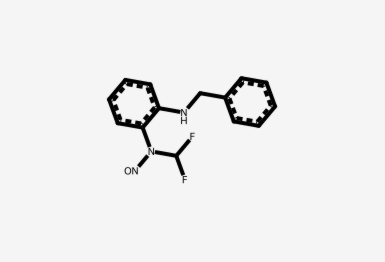 O=NN(c1ccccc1NCc1ccccc1)C(F)F